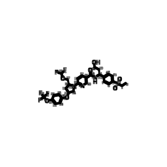 CCS(=O)(=O)c1ccc([C@H](CCO)NC(=O)c2ccc(N3CC(Oc4ccc(OC(F)(F)F)cc4)C[C@H]3COC(F)F)nc2)cc1